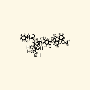 Cc1ccccc1N(C)CC(=O)N(CCCCc1cc(Cl)c(COC2(c3cnccc3-c3ccccc3OC3CC3)CC2)cc1Cl)C[C@H](O)[C@@H](O)[C@H](O)[C@H](O)CO